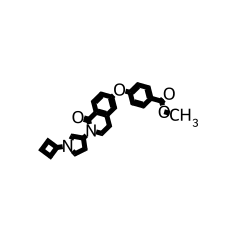 COC(=O)c1ccc(Oc2ccc3c(c2)CCN(C2CCN(C4CCC4)C2)C3=O)cc1